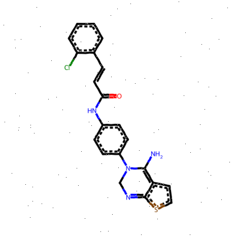 NC1=c2ccsc2=NCN1c1ccc(NC(=O)/C=C/c2ccccc2Cl)cc1